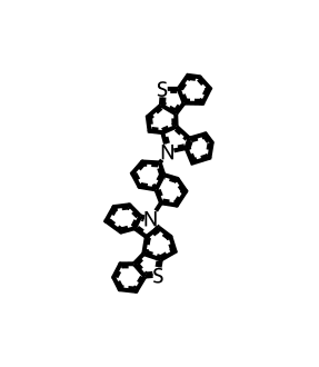 c1ccc2c(c1)sc1ccc3c(c4ccccc4n3-c3cccc4c(-n5c6ccccc6c6c7c(ccc65)sc5ccccc57)cccc34)c12